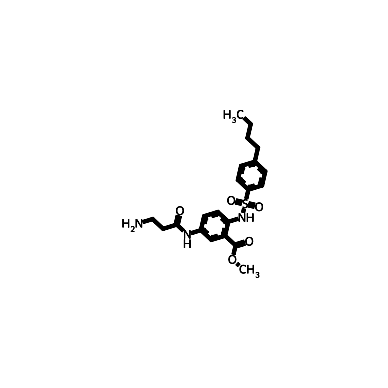 CCCCc1ccc(S(=O)(=O)Nc2ccc(NC(=O)CCN)cc2C(=O)OC)cc1